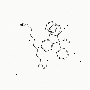 CCCCCCCCCCCCCCCCCC(=O)O.PC(c1ccccc1)(c1ccccc1)c1ccccc1-c1ccccc1